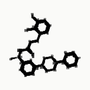 C[C@H](NC(=O)CCc1cccc(F)c1F)c1cccc(N2CCN(c3ccccn3)CC2)c1